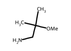 COC(C)(C)CN